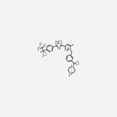 COC(C)(c1ccc(-c2noc(-c3cc(C)n(Cc4cccc(C(=O)N5CCN(C)CC5)c4)n3)n2)cc1)C(F)(F)F